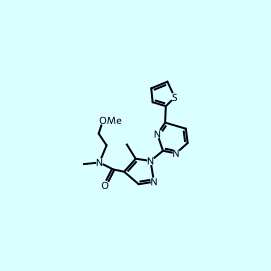 COCCN(C)C(=O)c1cnn(-c2nccc(-c3cccs3)n2)c1C